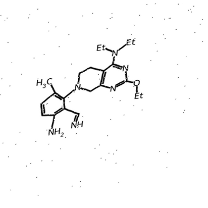 CCOc1nc2c(c(N(CC)CC)n1)CCN(c1c(C)ccc(N)c1C=N)C2